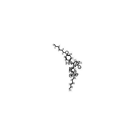 CCCCCCOc1ccc(NC2CN(C)C(=O)N2c2nnc(S(=O)(=O)CCCCCC)s2)cc1